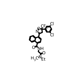 CCN(C)C(=O)CNC(=O)c1ccc(C2=NOC(c3cc(Cl)cc(Cl)c3)(C(F)(F)F)C2)c2ccccc12